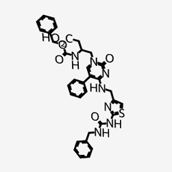 O=C(O)CC(Cn1cc(-c2ccccc2)c(NCc2csc(NC(=O)NCc3ccccc3)n2)nc1=O)NC(=O)OCc1ccccc1